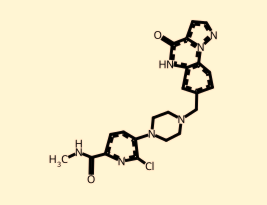 CNC(=O)c1ccc(N2CCN(Cc3ccc4c(c3)[nH]c(=O)c3ccnn34)CC2)c(Cl)n1